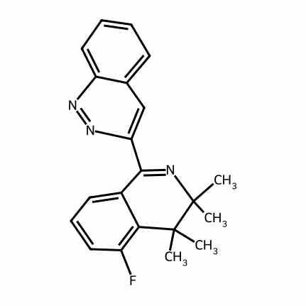 CC1(C)N=C(c2cc3ccccc3nn2)c2cccc(F)c2C1(C)C